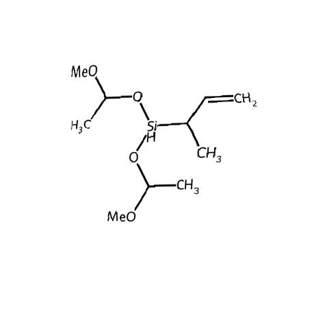 C=CC(C)[SiH](OC(C)OC)OC(C)OC